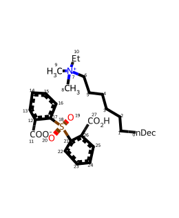 CCCCCCCCCCCCCCCC[N+](C)(C)CC.O=C([O-])c1ccccc1S(=O)(=O)c1ccccc1C(=O)O